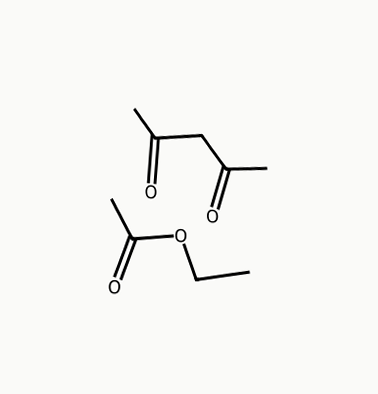 CC(=O)CC(C)=O.CCOC(C)=O